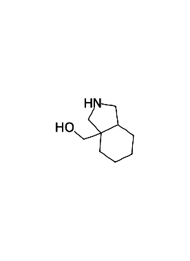 OCC12CCCCC1CNC2